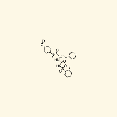 CCOc1ccc(N(C)C(=O)[C@H](CCc2ccccc2)NC(=O)NS(=O)(=O)c2ccccc2C)cc1